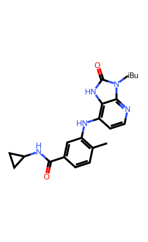 CCC(C)n1c(=O)[nH]c2c(Nc3cc(C(=O)NC4CC4)ccc3C)ccnc21